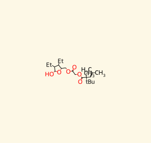 CCC1C(O)OC(COC(=O)COC(=O)C(C)(C=C(C)C)C(C)(C)C)C1CC